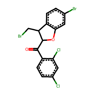 O=C(c1ccc(Cl)cc1Cl)C1Oc2cc(Br)ccc2C1CBr